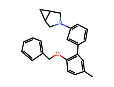 Cc1ccc(OCc2ccccc2)c(-c2cccc(N3CC4CC4C3)c2)c1